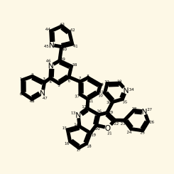 c1ccc(-c2cc(-c3cccc(-c4nc5ccccc5c5oc(-c6cccnc6)c(-c6cccnc6)c45)c3)cc(-c3ccccn3)n2)nc1